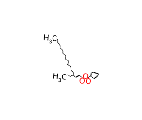 CCCCCCCCCCCCCCC(C=CC(=O)OC(=O)c1ccccc1)CCC